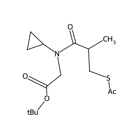 CC(=O)SCC(C)C(=O)N(CC(=O)OC(C)(C)C)C1CC1